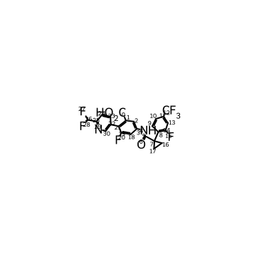 O=C(O)c1cc(NC(=O)C2(c3ccc(C(F)(F)F)cc3F)CC2)cc(F)c1-c1ccc(C(F)F)nc1